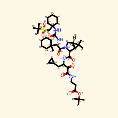 CC(C)(C)OC(=O)CCNC(=O)C(=O)C(CC1CC1)NC(=O)[C@@H]1C2[C@H](CN1C(=O)[C@@H](NC(=O)NC1(CS(=O)(=O)C(C)(C)C)CCCCC1)C1(C)CCCCC1)C2(C)C